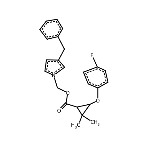 CC1(C)C(Oc2ccc(F)cc2)C1C(=O)OCn1ccc(Cc2ccccc2)c1